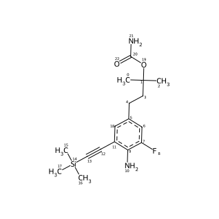 CC(C)(CCc1cc(F)c(N)c(C#C[Si](C)(C)C)c1)OC(N)=O